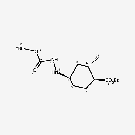 CCOC(=O)[C@H]1CC[C@@H](NNC(=O)OC(C)(C)C)C[C@@H]1C